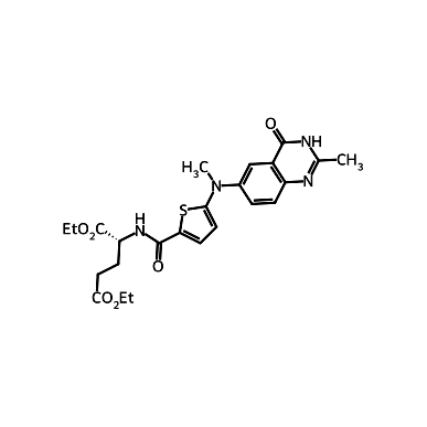 CCOC(=O)CC[C@@H](NC(=O)c1ccc(N(C)c2ccc3nc(C)[nH]c(=O)c3c2)s1)C(=O)OCC